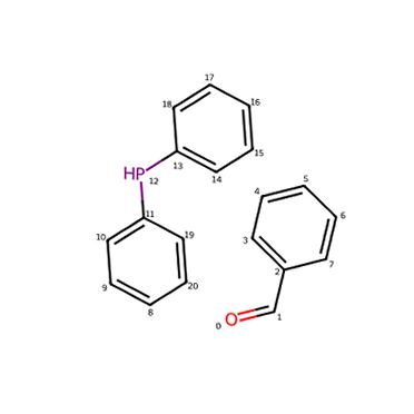 O=Cc1ccccc1.c1ccc(Pc2ccccc2)cc1